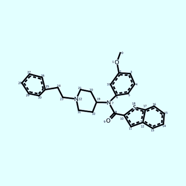 COc1cccc(N(C(=O)c2cc3ccccc3s2)C2CCN(CCc3ccccc3)CC2)c1